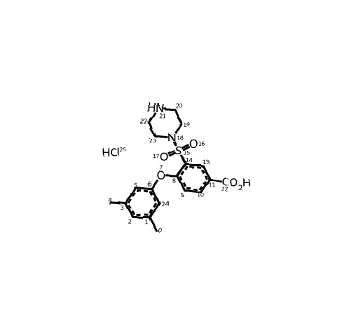 Cc1cc(C)cc(Oc2ccc(C(=O)O)cc2S(=O)(=O)N2CCNCC2)c1.Cl